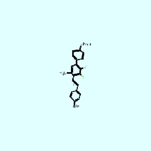 CCCCCc1ccc(-c2cc(C)c(/C=C/c3ccc(CCC)cc3)c(F)c2F)cc1